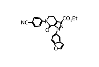 CCOC(=O)c1nn(-c2ccc3occc3c2)c2c1CCN(c1ccc(C#N)cc1)C2=O